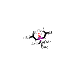 CCCCC(CC)CP(=O)(CC(CC)CCCC)[Si](OC(C)=O)(OC(C)=O)OC(C)=O